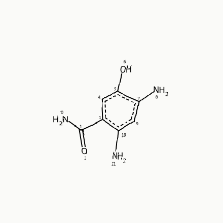 NC(=O)c1cc(O)c(N)cc1N